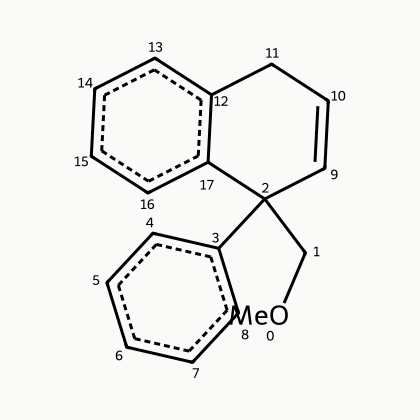 COCC1(c2ccccc2)C=CCc2ccccc21